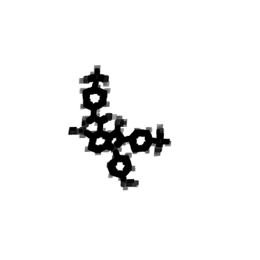 COc1ccc(-n2c(-c3ccc(S(C)(=O)=O)cc3)c(O)c3c(C(=O)C(=O)c4ccc(S(C)(=O)=O)cc4)c(OC)ccc32)cc1